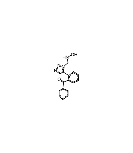 O=C(c1ccccc1)c1ccccc1-c1cnnn1CNO